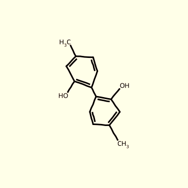 Cc1ccc(-c2ccc(C)cc2O)c(O)c1